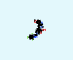 COc1ccc2ncc(N(C)C)c(CCCC3(CC(=O)O)CCN(CCNc4c(F)cc(F)cc4F)CC3)c2c1